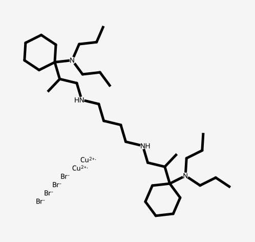 CCCN(CCC)C1(C(C)CNCCCCNCC(C)C2(N(CCC)CCC)CCCCC2)CCCCC1.[Br-].[Br-].[Br-].[Br-].[Cu+2].[Cu+2]